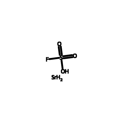 O=S(=O)(O)F.[SrH2]